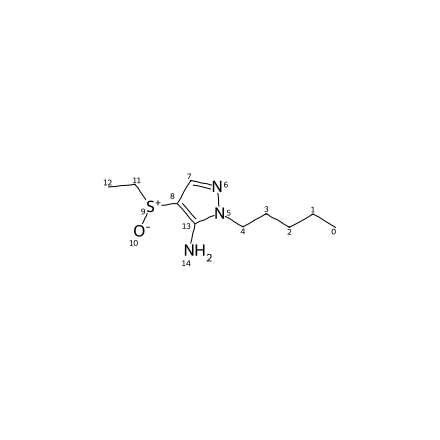 CCCCCn1ncc([S+]([O-])CC)c1N